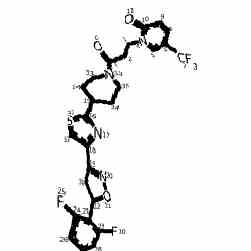 O=C(CCn1cc(C(F)(F)F)ccc1=O)N1CCC(c2nc(C3=NOC(c4c(F)cccc4F)C3)cs2)CC1